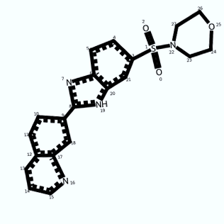 O=S(=O)(c1ccc2nc(-c3ccc4cccnc4c3)[nH]c2c1)N1CCOCC1